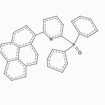 O=P(c1ccccc1)(c1ccccc1)c1cccc(-c2ccc3ccc4cccc5ccc2c3c45)n1